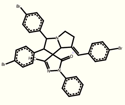 CC1=NN(c2ccccc2)C(=O)C12C(c1ccc(Br)cc1)C(c1ccc(Br)cc1)N1CC/C(=C\c3ccc(Br)cc3)C12